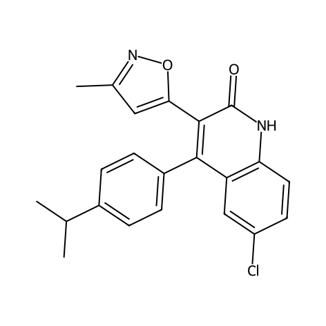 Cc1cc(-c2c(-c3ccc(C(C)C)cc3)c3cc(Cl)ccc3[nH]c2=O)on1